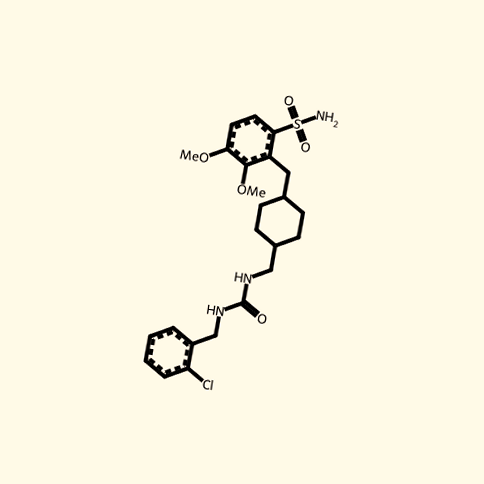 COc1ccc(S(N)(=O)=O)c(CC2CCC(CNC(=O)NCc3ccccc3Cl)CC2)c1OC